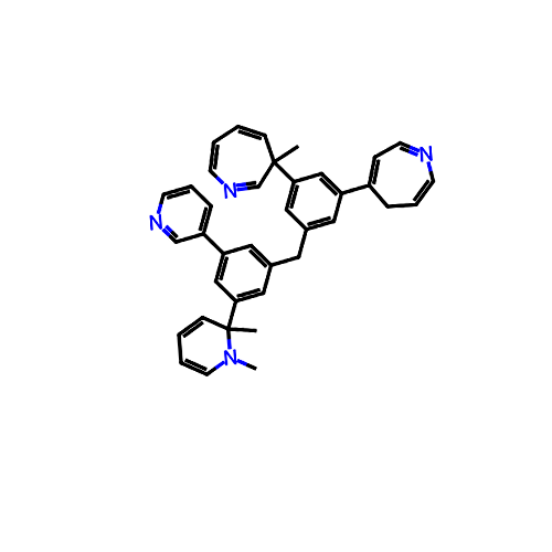 CN1C=CC=CC1(C)c1cc(Cc2cc(C3=CC=NC=CC3)cc(C3(C)C=CC=CN=C3)c2)cc(-c2cccnc2)c1